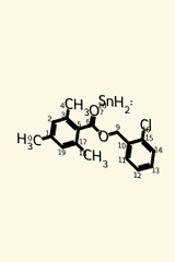 Cc1cc(C)c(C(=O)OCc2ccccc2Cl)c(C)c1.[SnH2]